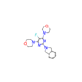 Fc1c(N2CCOCC2)nc(N2Cc3ccccc3C2)nc1N1CCOCC1